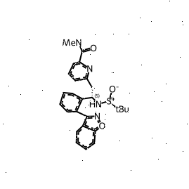 CNC(=O)c1cccc(C[C@H](N[S@@+]([O-])C(C)(C)C)c2ccccc2-c2noc3ccccc23)n1